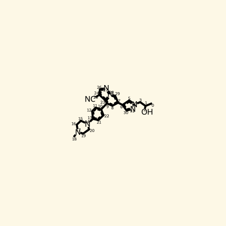 CC(O)Cn1cc(-c2cc(-c3ccc(N4CCN(C)CC4)cc3)c3c(C#N)cnn3c2)cn1